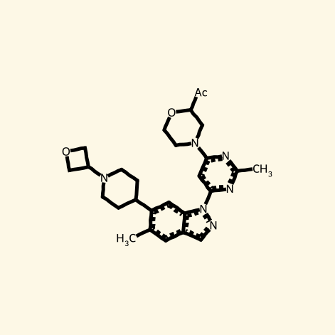 CC(=O)C1CN(c2cc(-n3ncc4cc(C)c(C5CCN(C6COC6)CC5)cc43)nc(C)n2)CCO1